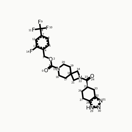 O=C(OCc1ccc(C(F)(F)F)cc1F)N1CCC2(CC1)CN(C(=O)[C@@H]1CCc3[nH]nnc3C1)C2